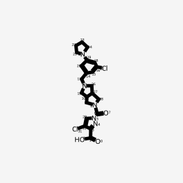 O=C(O)c1nn(C(=O)N2CC3CN(Cc4cc(Cl)cc(N5CCCC5)c4)CC3C2)cc1Cl